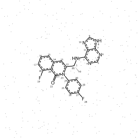 C[C@@H](Nc1ncnc2[nH]cnc12)c1cc2cccc(F)c2c(=O)n1-c1ccc(F)cc1